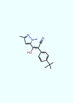 Cc1cc(/C(O)=C(\C#N)c2ccc(C(C)(C)C)cc2)n(C)n1